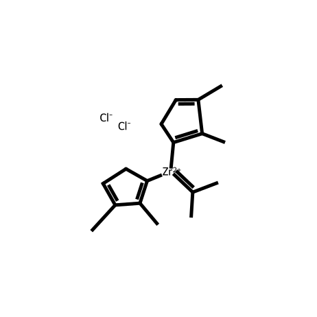 CC1=CC[C]([Zr+2]([C]2=C(C)C(C)=CC2)=[C](C)C)=C1C.[Cl-].[Cl-]